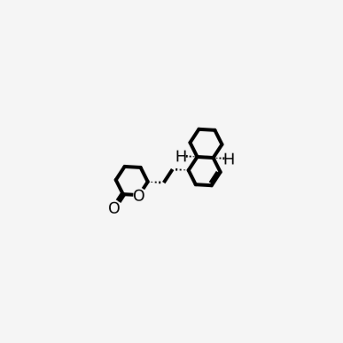 O=C1CCC[C@H](CC[C@H]2CC=C[C@@H]3CCCC[C@H]23)O1